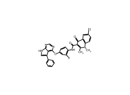 CCc1ccc2c(c1)c(=O)c(C(=O)Nc1ccc(Oc3ncnc4[nH]cc(-c5ccccc5)c34)cc1F)c(C)n2C